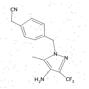 Cc1c(N)c(C(F)(F)F)nn1Cc1ccc(CC#N)cc1